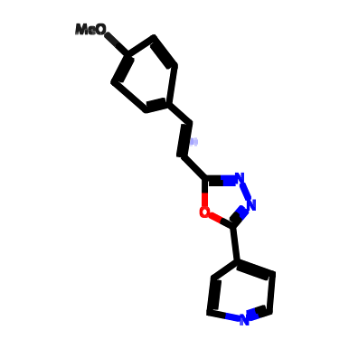 COc1ccc(/C=C/c2nnc(-c3ccncc3)o2)cc1